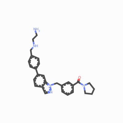 NCCNCc1ccc(-c2ccc3cnn(Cc4cccc(C(=O)N5CCCC5)c4)c3c2)cc1